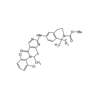 CC1Sc2nc(Nc3ccc4c(c3)CCN(C(=O)OC(C)(C)C)C4(C)C)ncc2C(=O)N1c1c(Cl)cccc1Cl